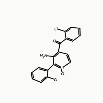 Nc1c(C(=O)c2ccccc2Cl)cc[n+]([O-])c1-c1ccccc1Cl